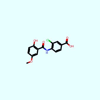 COc1ccc(O)c(C(=O)Nc2ccc(C(=O)O)cc2Cl)c1